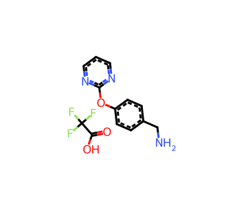 NCc1ccc(Oc2ncccn2)cc1.O=C(O)C(F)(F)F